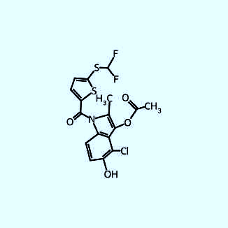 CC(=O)Oc1c(C)n(C(=O)c2ccc(SC(F)F)s2)c2ccc(O)c(Cl)c12